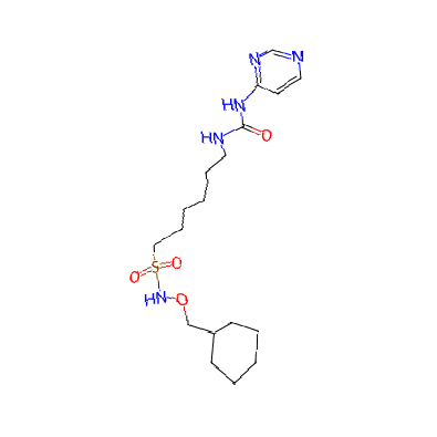 O=C(NCCCCCCS(=O)(=O)NOCC1CCCCC1)Nc1ccncn1